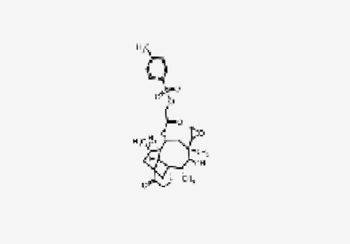 Cc1ccc(S(=O)(=O)OCC(=O)O[C@@H]2C[C@](C)(C3CO3)[C@@H](O)[C@H](C)[C@]34CCC(=O)C5(C[C@@H](C)[C@]2(C)[C@H]53)C4)cc1